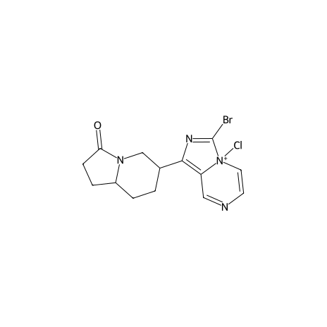 O=C1CCC2CCC(C3=C4C=NC=C[N+]4(Cl)C(Br)=N3)CN12